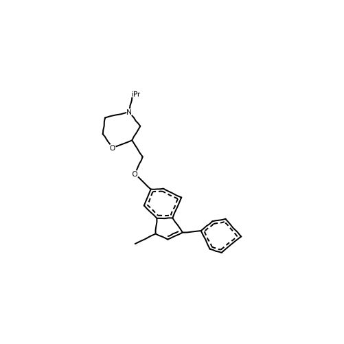 CC1C=C(c2ccccc2)c2ccc(OCC3CN(C(C)C)CCO3)cc21